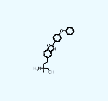 C[C@](N)(CO)CCc1ccc2oc(-c3ccc(Oc4ccccc4)cc3)nc2c1